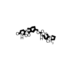 Cc1cc(NC(=O)OCc2ccc3c(c2)C(=O)N(C2CCC(=O)NC2=O)C3)ncc1N1CCCC1